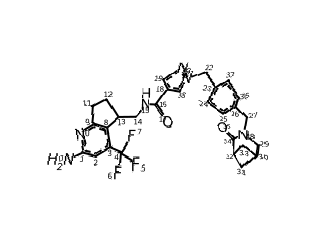 Nc1cc(C(F)(F)F)c2c(n1)CCC2CNC(=O)c1cnn(Cc2ccc(CN3CC4CC(C4)C3=O)cc2)c1